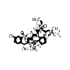 CCS(=O)(=O)N(CC[Si](C)(C)C)c1nnc(-c2cc([C@H](O)c3ccc(Cl)cc3S(C)(=O)=O)n(C)n2)n1-c1c(OC)cccc1OC